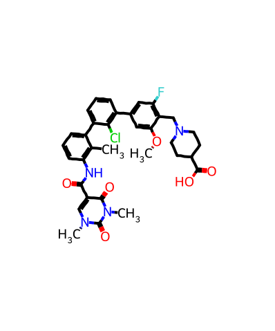 COc1cc(-c2cccc(-c3cccc(NC(=O)c4cn(C)c(=O)n(C)c4=O)c3C)c2Cl)cc(F)c1CN1CCC(C(=O)O)CC1